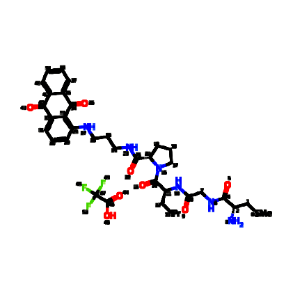 CSC[C@H](N)C(=O)NCC(=O)N[C@@H](CC(C)C)C(=O)N1CCC[C@H]1C(=O)NCCCNc1cccc2c1C(=O)c1ccccc1C2=O.O=C(O)C(F)(F)F